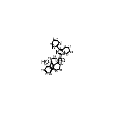 O=C(c1nc(-c2ncccn2)c2n1CCCC2)N1CC[C@](O)(c2ccccc2)[C@H]2CCCC[C@H]21